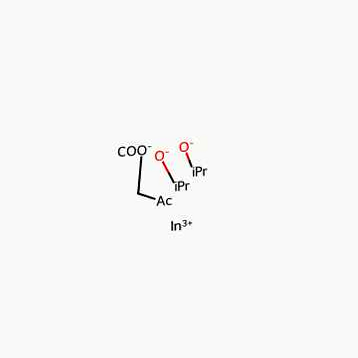 CC(=O)CC(=O)[O-].CC(C)[O-].CC(C)[O-].[In+3]